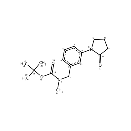 CN(Cc1cccc(N2CCCC2=O)c1)C(=O)OC(C)(C)C